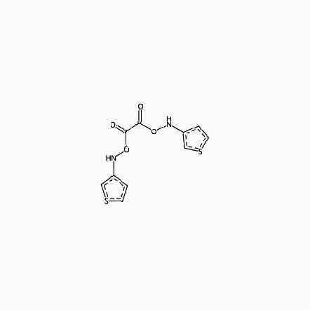 O=C(ONc1ccsc1)C(=O)ONc1ccsc1